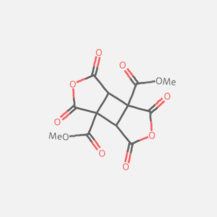 COC(=O)C12C(=O)OC(=O)C1C1(C(=O)OC)C(=O)OC(=O)C21